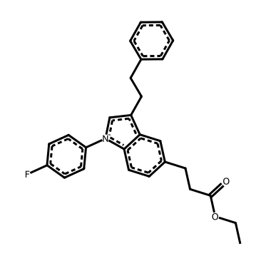 CCOC(=O)CCc1ccc2c(c1)c(CCc1ccccc1)cn2-c1ccc(F)cc1